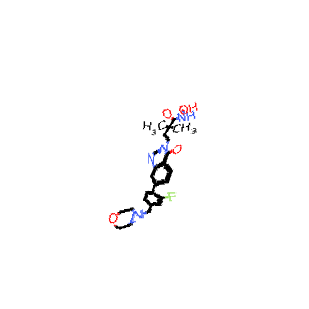 CC(C)(CCn1cnc2cc(-c3ccc(CN4CCOCC4)cc3F)ccc2c1=O)C(=O)NO